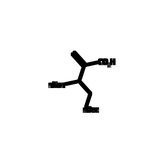 C=C(C(=O)O)C(CCCCCCCCC)CCCCCCCCCCC